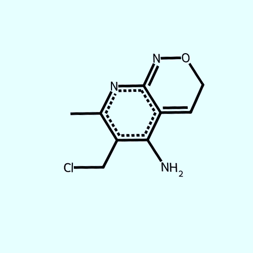 Cc1nc2c(c(N)c1CCl)=CCON=2